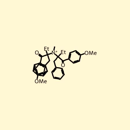 CCC(Cc1ccccc1)(C(=O)c1ccc(OC)cc1)[N+](C)C(CC)(Cc1ccccc1)C(=O)c1ccc(OC)cc1